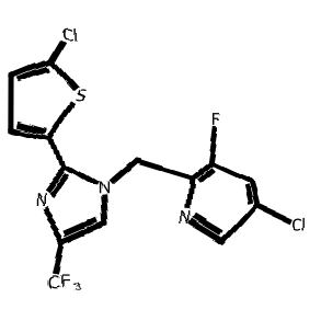 Fc1cc(Cl)cnc1Cn1cc(C(F)(F)F)nc1-c1ccc(Cl)s1